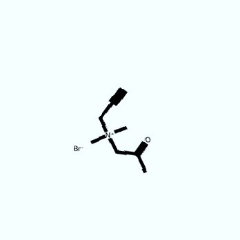 C#CC[N+](C)(C)CC(C)=O.[Br-]